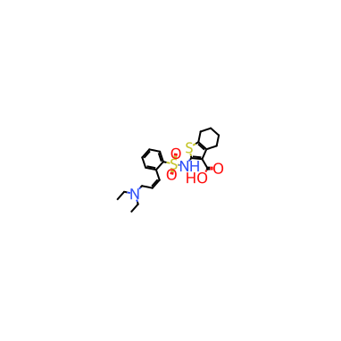 CCN(CC)C/C=C\c1ccccc1S(=O)(=O)Nc1sc2c(c1C(=O)O)CCCC2